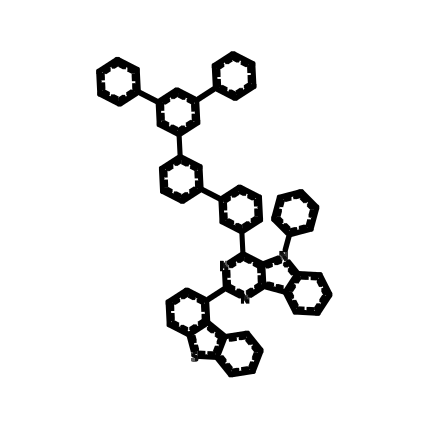 c1ccc(-c2cc(-c3ccccc3)cc(-c3cccc(-c4cccc(-c5nc(-c6cccc7sc8ccccc8c67)nc6c7ccccc7n(-c7ccccc7)c56)c4)c3)c2)cc1